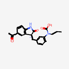 CCCN(C(=O)O)c1cccc(/C=C2\C(=O)Nc3ccc(C(C)=O)cc32)c1